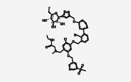 CCNC(=O)CN(C)Cc1cc(Cl)c(OCc2cccc(-c3cccc(OCc4cn([C@@H]5O[C@H](CF)[C@@H](O)[C@H](O)[C@H]5O)nn4)c3)c2Br)cc1OCc1cncc(S(C)(=O)=O)c1